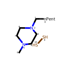 CCCCCCN1CCN(C)CC1.SS